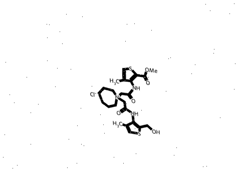 COC(=O)c1scc(C)c1NC(=O)C[N+]1(CC(=O)Nc2c(C)csc2CO)CCCCCC1.[Cl-]